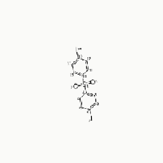 O=S(=O)(c1ccc(I)cc1)c1ccc(I)cc1